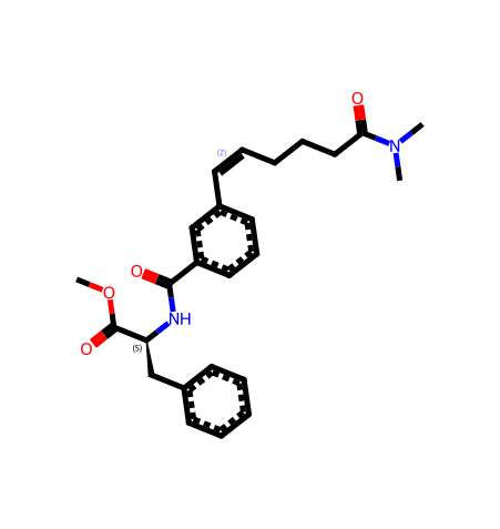 COC(=O)[C@H](Cc1ccccc1)NC(=O)c1cccc(/C=C\CCCC(=O)N(C)C)c1